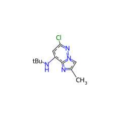 Cc1cn2nc(Cl)cc(NC(C)(C)C)c2n1